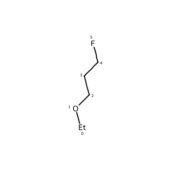 CCOCCCF